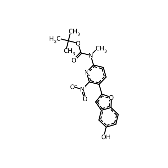 CN(C(=O)OC(C)(C)C)c1ccc(-c2cc3cc(O)ccc3o2)c([N+](=O)[O-])n1